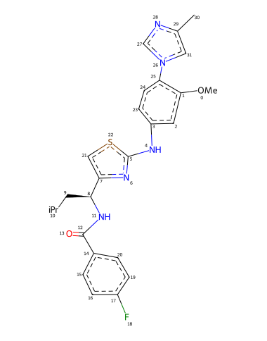 COc1cc(Nc2nc([C@H](CC(C)C)NC(=O)c3ccc(F)cc3)cs2)ccc1-n1cnc(C)c1